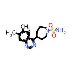 Cc1cc2ncnc(C3CCCN(S(N)(=O)=O)CC3)c2cc1C